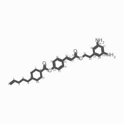 C=CCCCC1CCC(C(=O)Oc2ccc(/C=C/C(=O)OCCc3cc(N)cc(N)c3)cc2)CC1